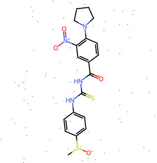 C[S+]([O-])c1ccc(NC(=S)NC(=O)c2ccc(N3CCCC3)c([N+](=O)[O-])c2)cc1